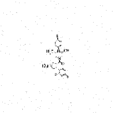 C[C@@H]1CN(C(=O)[C@@H]2CN(C(C)(C)C)C[C@H]2c2ccc(F)cc2F)C[C@H](C)N1c1ccc(F)cc1